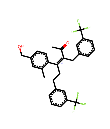 CC(=O)/C(Cc1cccc(C(F)(F)F)c1)=C(/CCc1cccc(C(F)(F)F)c1)c1ccc(CO)cc1C